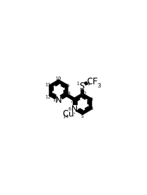 FC(F)(F)Sc1cccnc1-c1ccccn1.[Cu]